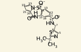 CC(C)c1ncc(CNC(=O)c2ccc3c(c2)NC(=O)c2cccn2[S+]3[O-])s1